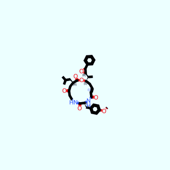 COc1ccc(C[C@H]2NC(=O)/C=C/C[C@@H](C(C)[C@H]3OC3c3ccccc3)OC(=O)[C@H](CC(C)C)CC(=O)CCNC2=O)cc1